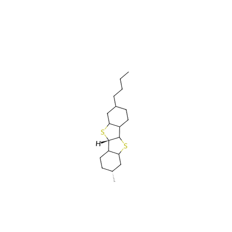 CCCCC1CCC2C(C1)S[C@H]1C3CC[C@@H](C)CC3SC21